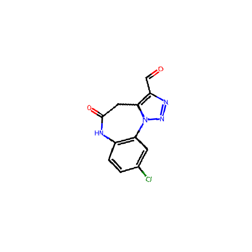 O=Cc1nnn2c1CC(=O)Nc1ccc(Cl)cc1-2